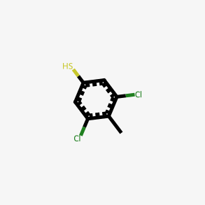 Cc1c(Cl)cc(S)cc1Cl